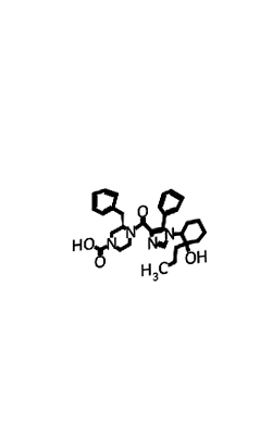 CCCC1(O)CCCCC1n1cnc(C(=O)N2CCN(C(=O)O)C[C@H]2Cc2ccccc2)c1-c1ccccc1